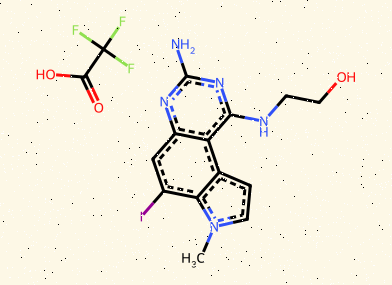 Cn1ccc2c3c(NCCO)nc(N)nc3cc(I)c21.O=C(O)C(F)(F)F